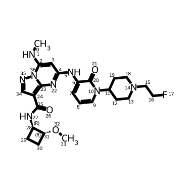 CNc1cc(Nc2cccn(C3CCN(CCF)CC3)c2=O)nc2c(C(=O)N[C@@H]3CC[C@H]3OC)cnn12